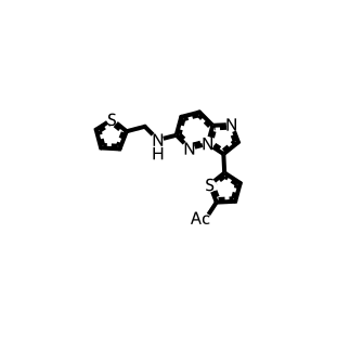 CC(=O)c1ccc(-c2cnc3ccc(NCc4cccs4)nn23)s1